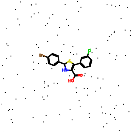 O=C(O)C1=C(c2cccc(Cl)c2)SC(c2ccc(Br)cc2)N1